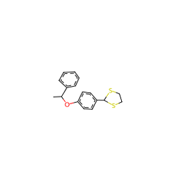 CC(Oc1ccc(C2SCCS2)cc1)c1ccccc1